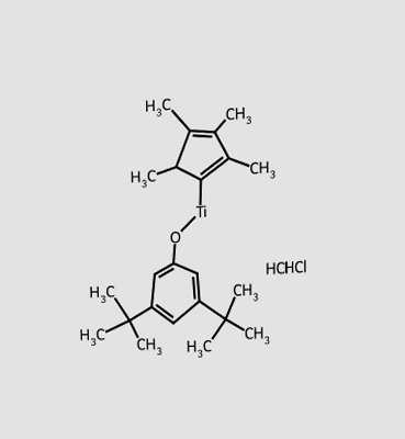 CC1=C(C)C(C)[C]([Ti][O]c2cc(C(C)(C)C)cc(C(C)(C)C)c2)=C1C.Cl.Cl